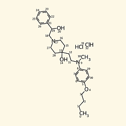 CCCCOc1ccc(N(C)CCC2(O)CCN(CC(O)c3ccccc3)CC2)cc1.Cl.Cl